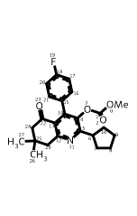 COC(=O)Oc1c(C2CCCC2)nc2c(c1-c1ccc(F)cc1)C(=O)CC(C)(C)C2